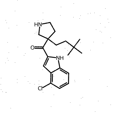 CC(C)(C)CCC1(C(=O)c2cc3c(Cl)cccc3[nH]2)CCNC1